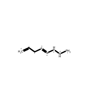 C=CCP=NPNP